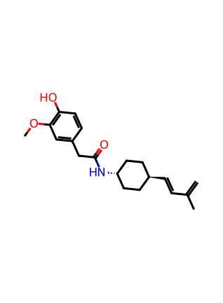 C=C(C)C=C[C@H]1CC[C@H](NC(=O)Cc2ccc(O)c(OC)c2)CC1